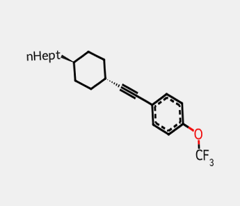 CCCCCCC[C@H]1CC[C@H](C#Cc2ccc(OC(F)(F)F)cc2)CC1